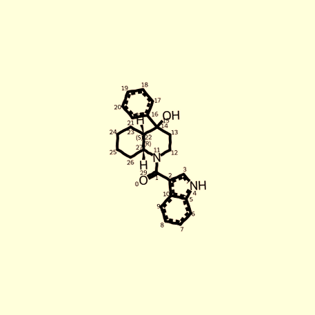 O=C(c1c[nH]c2ccccc12)N1CCC(O)(c2ccccc2)[C@H]2CCCC[C@H]21